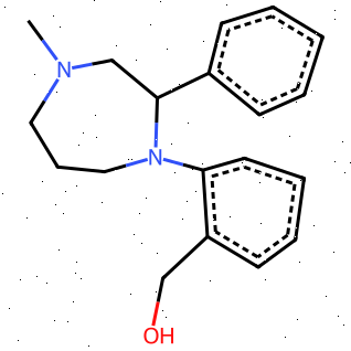 CN1CCCN(c2ccccc2CO)C(c2ccccc2)C1